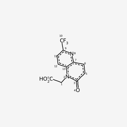 O=C(O)Cn1c(=O)ccc2nc(C(F)(F)F)ccc21